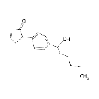 CCCCCC(O)c1ccc(C2CC=CC2=O)cc1